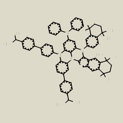 CC(C)c1ccc(-c2ccc(N3c4ccc(-c5ccc(C(C)C)cc5)cc4B4c5sc6cc7c(cc6c5N(c5ccc6c(c5)C(C)(C)CCC6(C)C)c5cc(N(c6ccccc6)c6ccccc6)cc3c54)C(C)(C)CCC7(C)C)cc2)cc1